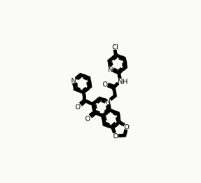 O=C(Cn1cc(C(=O)c2cccnc2)c(=O)c2cc3c(cc21)OCO3)Nc1ccc(Cl)cn1